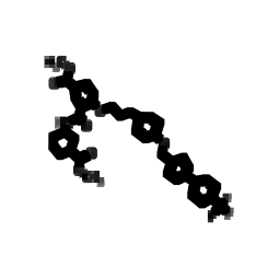 COC(=O)c1ccc(OCCCc2ccc(OCc3ccc(-c4ccc(C(F)(F)F)cc4)cc3)cc2)c(C(=O)NC2CCCC(C(=O)OC)C2)c1